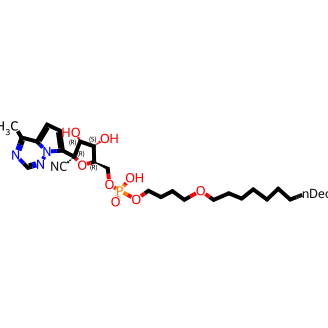 CCCCCCCCCCCCCCCCCOCCCCOP(=O)(O)OC[C@H]1O[C@@](C#N)(c2ccc3c(C)ncnn23)[C@H](O)[C@@H]1O